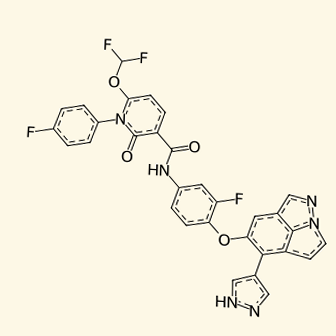 O=C(Nc1ccc(Oc2cc3cnn4ccc(c2-c2cn[nH]c2)c34)c(F)c1)c1ccc(OC(F)F)n(-c2ccc(F)cc2)c1=O